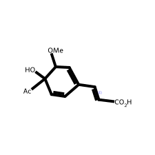 COC1C=C(/C=C/C(=O)O)C=CC1(O)C(C)=O